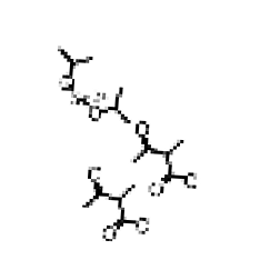 CC(=O)C(C)C(=O)[O-].CC(=O)C(C)C(=O)[O-].CC(C)[O][Sn+2][O]C(C)C